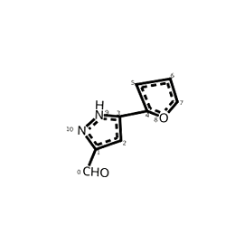 O=Cc1cc(-c2ccco2)[nH]n1